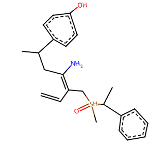 C=C/C(C[SH](C)(=O)C(C)c1ccccc1)=C(/N)CC(C)c1ccc(O)cc1